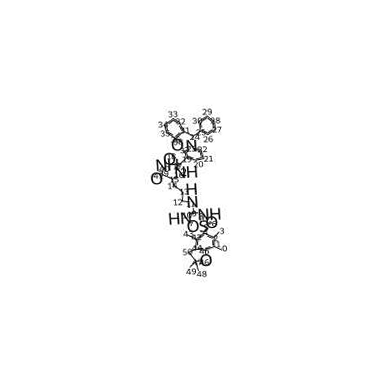 Cc1c(C)c(S(=O)(=O)NC(=N)NCCC[C@H](NC(=O)c2cccn(C(c3ccccc3)c3ccccc3)c2=O)C(N)=O)c(C)c2c1OC(C)(C)C2